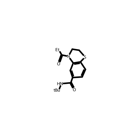 CCC(=O)N1CCSc2ccc(C(=O)NC(C)(C)C)cc21